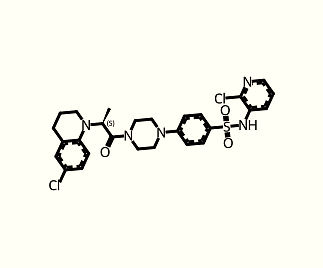 C[C@@H](C(=O)N1CCN(c2ccc(S(=O)(=O)Nc3cccnc3Cl)cc2)CC1)N1CCCc2cc(Cl)ccc21